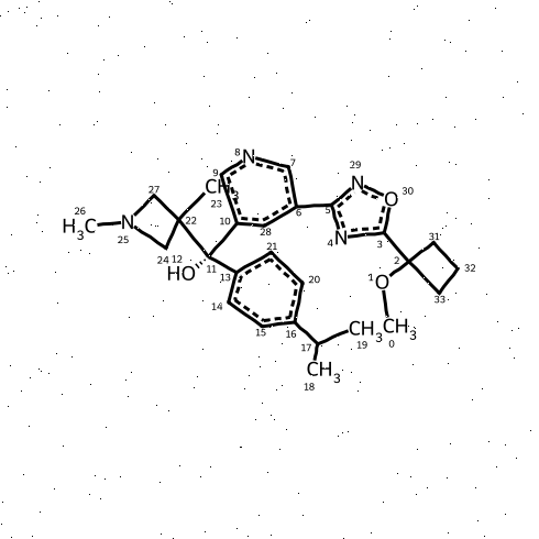 COC1(c2nc(-c3cncc([C@@](O)(c4ccc(C(C)C)cc4)C4(C)CN(C)C4)c3)no2)CCC1